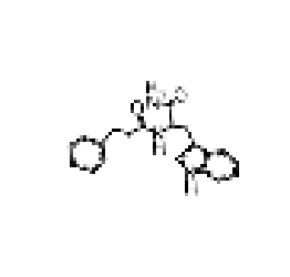 NC(=O)C(Cc1c[nH]c2ccccc12)NC(=O)[CH]Cc1ccccc1